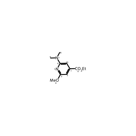 CCOC(=O)c1cc(OC)nc(N(C)C)c1